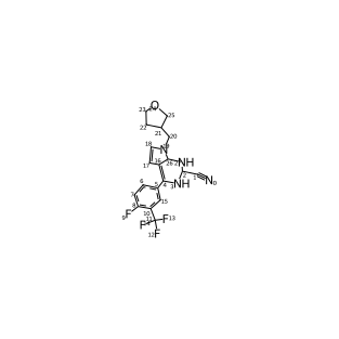 N#CC1NC(c2ccc(F)c(C(F)(F)F)c2)=C2C=CN(CC3CCOC3)C2N1